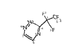 FC(F)(F)C(F)(F)c1n[c]cnn1